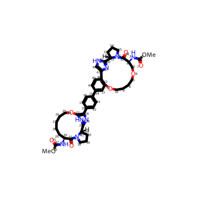 COC(=O)N[C@H]1COCCCCOc2cc(-c3ccc(-c4nc5[nH]c4OCCCCC[C@H](NC(=O)OC)C(=O)N4CCC[C@@H]54)cc3)ccc2-c2c[nH]c(n2)[C@@H]2CCCN2C1=O